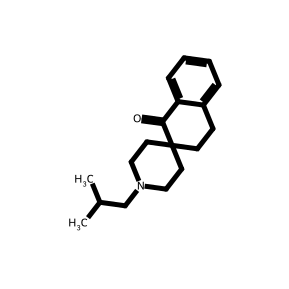 CC(C)CN1CCC2(CCc3ccccc3C2=O)CC1